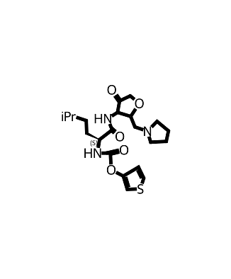 CC(C)CC[C@H](NC(=O)Oc1ccsc1)C(=O)NC1C(=O)COC1CN1CCCC1